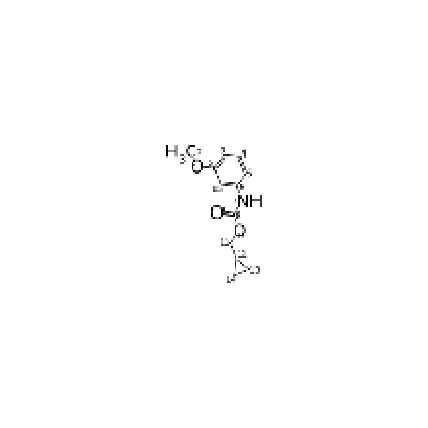 COc1c[c]cc(NC(=O)OCC2CC2)c1